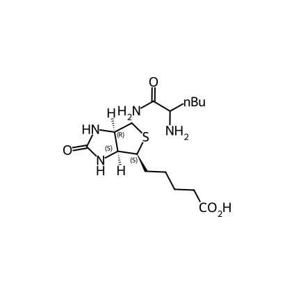 CCCCC(N)C(N)=O.O=C(O)CCCC[C@@H]1SC[C@@H]2NC(=O)N[C@@H]21